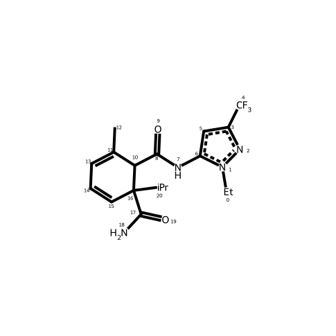 CCn1nc(C(F)(F)F)cc1NC(=O)C1C(C)=CC=CC1(C(N)=O)C(C)C